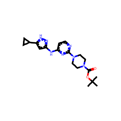 CC(C)(C)OC(=O)N1CCN(c2nccc(Nc3cc(C4CC4)[nH]n3)n2)CC1